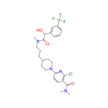 CN(C)C(=O)c1ccc(N2CCC(CCCN(C)C(=O)C(O)c3cccc(C(F)(F)F)c3)CC2)nc1Cl